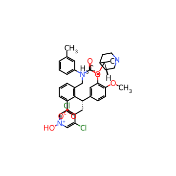 COc1ccc([C@H](Cc2c(Cl)c[n+](O)cc2Cl)c2c(CN(C(=O)O[C@H]3CN4CCC3CC4)c3cccc(C)c3)cccc2C(=O)[O-])cc1OC